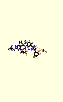 Cc1ccc(-c2ncc(-c3ccccc3OC(F)(F)F)[nH]2)cc1N1Cc2cnc(NC3CC3)nc2N(C)C1=O